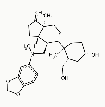 C=C1CC[C@H]2[C@H](CN(C)c3ccc4c(c3)OCO4)[C@@H]([C@@]3(C)CC[C@H](O)C[C@@H]3CO)CC[C@]12C